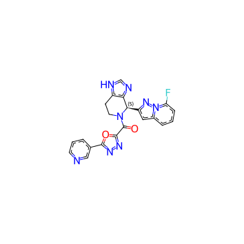 O=C(c1nnc(-c2cccnc2)o1)N1CCc2[nH]cnc2[C@H]1c1cc2cccc(F)n2n1